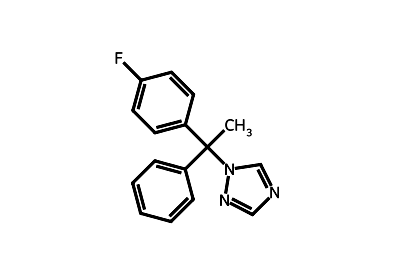 CC(c1ccccc1)(c1ccc(F)cc1)n1cncn1